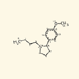 CCCC[S+]1CCCC1c1ccc(OC)cc1